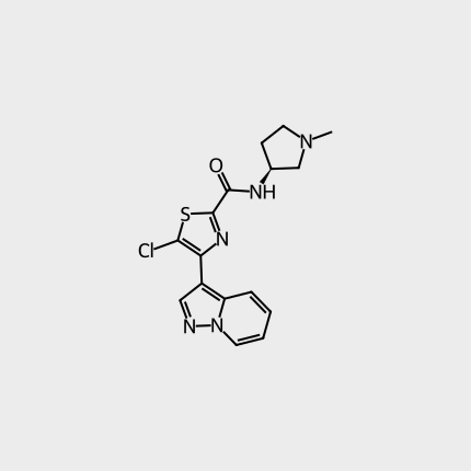 CN1CC[C@H](NC(=O)c2nc(-c3cnn4ccccc34)c(Cl)s2)C1